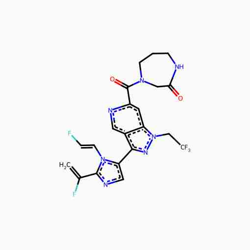 C=C(F)c1ncc(-c2nn(CC(F)(F)F)c3cc(C(=O)N4CCCNC(=O)C4)ncc23)n1/C=C/F